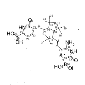 CC(C)(C)C(CCc1cc(B(O)O)c(=O)[nH]c1N)C(C(CCc1ccc(B(O)O)[nH]c1=O)C(C)(C)C)C(C)(C)C